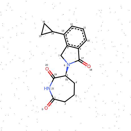 O=C1CCC[C@H](N2Cc3c(cccc3C3CC3)C2=O)C(=O)N1